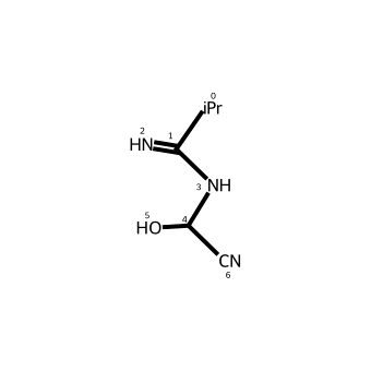 CC(C)C(=N)NC(O)C#N